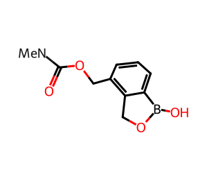 CNC(=O)OCc1cccc2c1COB2O